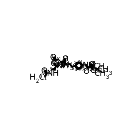 C=CC(=O)NCCC(=O)N[C@@H](CC=O)C(=O)NCCc1ccc(NC(=O)C(=O)OC(C)(C)C)cc1